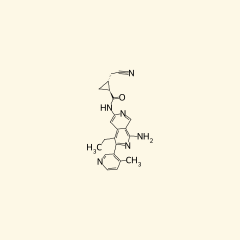 CCc1c(-c2cnccc2C)nc(N)c2cnc(NC(=O)[C@H]3C[C@@H]3CC#N)cc12